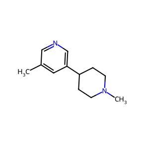 Cc1cncc(C2CCN(C)CC2)c1